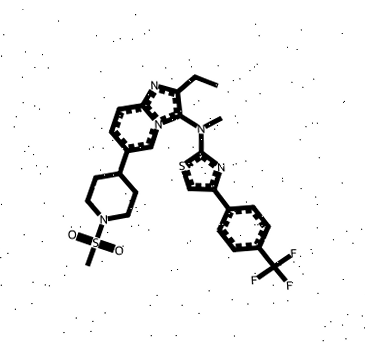 CCc1nc2ccc(C3CCN(S(C)(=O)=O)CC3)cn2c1N(C)c1nc(-c2ccc(C(F)(F)F)cc2)cs1